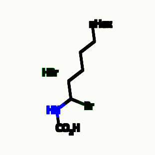 Br.CCCCCCCCCCC(Br)NC(=O)O